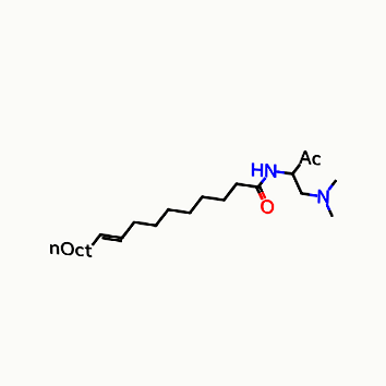 CCCCCCCC/C=C/CCCCCCCC(=O)NC(CN(C)C)C(C)=O